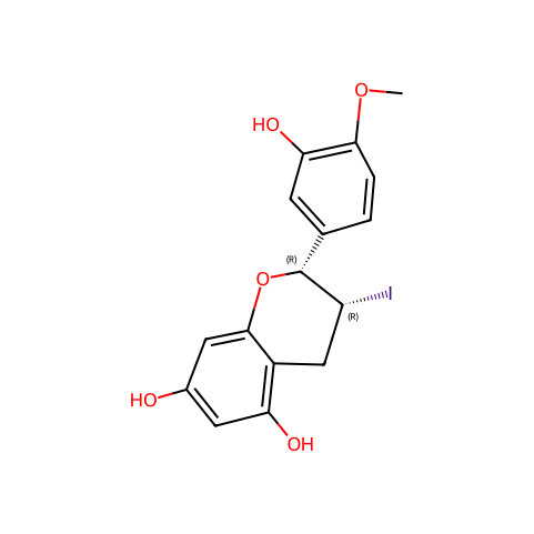 COc1ccc([C@H]2Oc3cc(O)cc(O)c3C[C@H]2I)cc1O